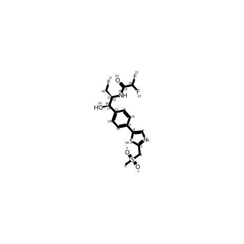 CS(=O)(=O)Cc1ncc(-c2ccc([C@@H](O)[C@@H](CF)NC(=O)C(F)F)cc2)s1